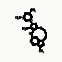 Cc1nn2c3nc(ncc13)Nc1c(nn([C@H]3C[C@@H](C)O[C@@H](C)C3)c1C)OCCC2